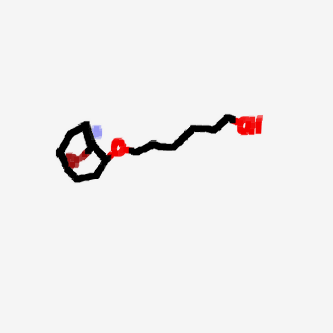 OCCCCCCOC1CCCCC/C=C/1Br